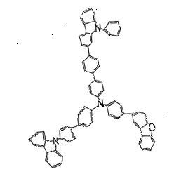 c1ccc(-n2c3ccccc3c3ccc(-c4ccc(-c5ccc(N(c6ccc(-c7ccc(-n8c9ccccc9c9ccccc98)cc7)cc6)c6ccc(-c7ccc8oc9ccccc9c8c7)cc6)cc5)cc4)cc32)cc1